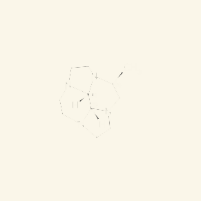 C[C@H]1CN2CCN3CCN4CCN1[C@@H]4[C@@H]32